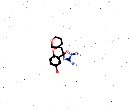 CN1OC2(CC3(CCCOC3)Oc3ccc(Br)cc32)N=C1N